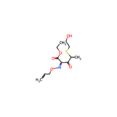 C=CCON=C(C(=O)OCC)C(=O)C(C)SCCO